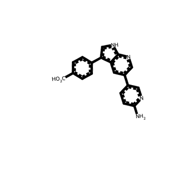 Nc1ccc(-c2cnc3[nH]cc(-c4ccc(C(=O)O)cc4)c3c2)cn1